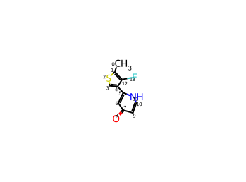 Cc1scc(-c2cc(=O)cc[nH]2)c1F